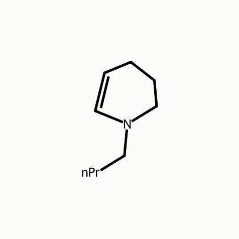 CCCCN1C=CCCC1